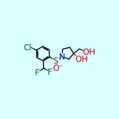 [O-][S+](c1ccc(Cl)cc1C(F)F)N1CCC(O)(CO)C1